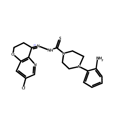 Nc1ccccc1N1CCN(C(=S)N/N=C2/CCOc3cc(Cl)cnc32)CC1